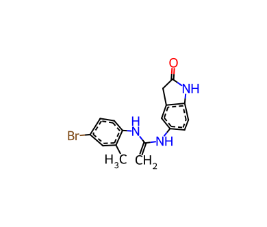 C=C(Nc1ccc2c(c1)CC(=O)N2)Nc1ccc(Br)cc1C